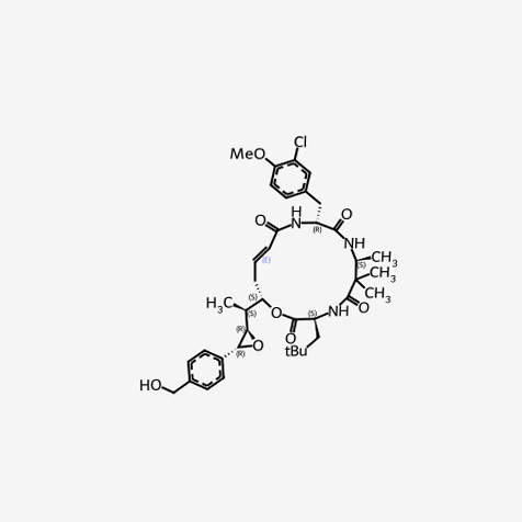 COc1ccc(C[C@H]2NC(=O)/C=C/C[C@@H]([C@H](C)[C@H]3O[C@@H]3c3ccc(CO)cc3)OC(=O)[C@H](CC(C)(C)C)NC(=O)C(C)(C)[C@H](C)NC2=O)cc1Cl